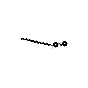 CCCCCCCCCCCCCCCCCCNc1ccc(N=Nc2ccccc2)cc1